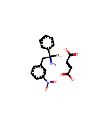 CC(N)(Cc1cccc([N+](=O)[O-])c1)c1ccccc1.O=C(O)C=CC(=O)O